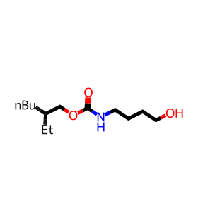 CCCCC(CC)COC(=O)NCCCCO